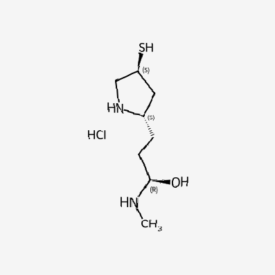 CN[C@H](O)CC[C@H]1C[C@H](S)CN1.Cl